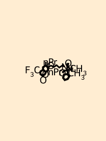 CCCc1cc2c(C(F)(F)F)cc(=O)oc2c(CCC)c1OCCCCN1C(=O)N(C)C(C)(c2ccccc2)C1=O